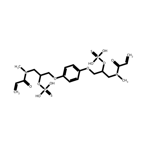 C=CC(=O)N(C)CC(COc1ccc(OCC(CN(C)C(=O)C=C)OP(O)(O)=S)cc1)OP(O)(O)=S